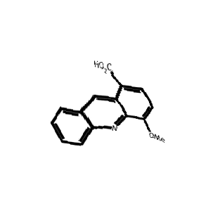 COc1ccc(C(=O)O)c2cc3ccccc3nc12